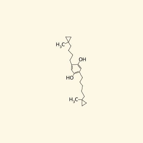 CC1(CCCCCc2cc(O)c(CCCCC3(C)CC3)cc2O)CC1